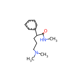 CNC(=O)C(CCCN(C)C)c1ccccc1